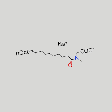 CCCCCCCC/C=C/CCCCCCCC(=O)N(C)CC(=O)[O-].[Na+]